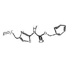 CCOC(=O)Cc1csc(NC(=O)OCc2ccccc2)n1